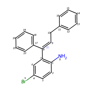 Nc1ccc(Br)cc1/C(=C/Cc1ccccc1)c1ccccc1